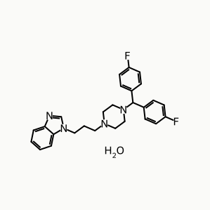 Fc1ccc(C(c2ccc(F)cc2)N2CCN(CCCn3cnc4ccccc43)CC2)cc1.O